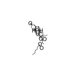 CCCCCC(=O)OC(C)C(=O)O[C@H]1[C@@H](CC)C[C@H]2[C@@H]3CCC4=CC(=O)CC[C@@H]4[C@H]3CC[C@@]21C